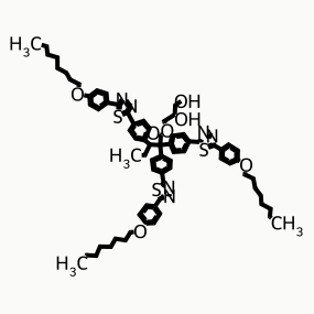 CCCCCCCCOc1ccc(-c2nnc(-c3ccc(C(CC)C(C(=O)OCC(O)CO)(c4ccc(-c5nnc(-c6ccc(OCCCCCCCC)cc6)s5)cc4)c4ccc(-c5nnc(-c6ccc(OCCCCCCCC)cc6)s5)cc4)cc3)s2)cc1